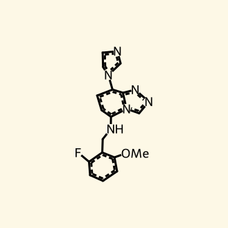 COc1cccc(F)c1CNc1ccc(-n2ccnc2)c2nncn12